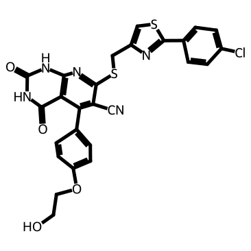 N#Cc1c(SCc2csc(-c3ccc(Cl)cc3)n2)nc2[nH]c(=O)[nH]c(=O)c2c1-c1ccc(OCCO)cc1